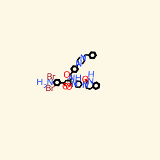 Nc1c(Br)cc(C(=O)C[C@@H](NC(=O)c2ccc(N3CCN(Cc4ccccc4)CC3)cc2)C(=O)N2CCC(N3CCc4ccccc4NC3=O)CC2)cc1Br